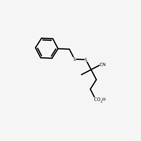 CC(C#N)(CCC(=O)O)SSCc1ccccc1